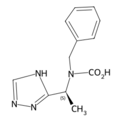 C[C@@H](c1nnc[nH]1)N(Cc1ccccc1)C(=O)O